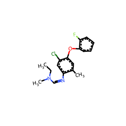 CCN(C)/C=N\c1cc(Cl)c(Oc2ccccc2F)cc1C